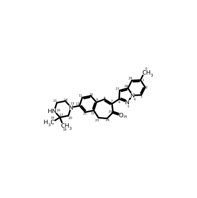 Cc1ccn2nc(C3=Cc4ccc(N5CCNC(C)(C)C5)cc4CCC3=O)cc2c1